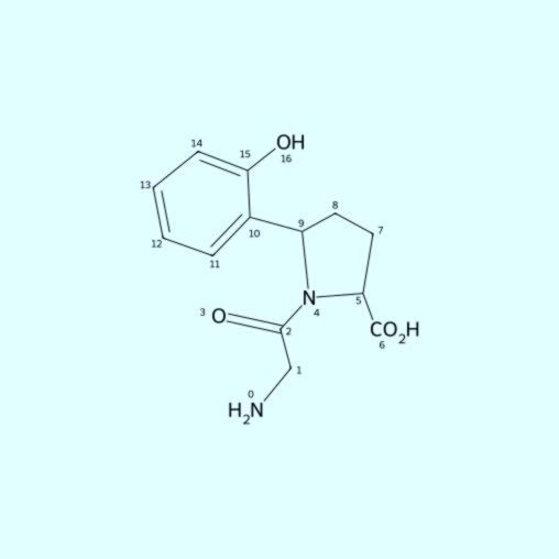 NCC(=O)N1C(C(=O)O)CCC1c1ccccc1O